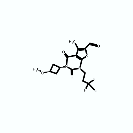 CO[C@H]1C[C@@H](n2c(=O)c3c(C)c(C=O)sc3n(CCC(F)(F)F)c2=O)C1